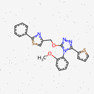 COc1ccccc1-n1c(OCc2csc(-c3ccccc3)n2)nnc1-c1cccs1